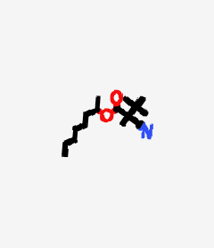 CCCCCCC(C)OC(=O)C(C)(C#N)C(C)(C)C